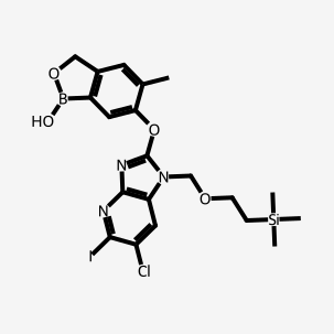 Cc1cc2c(cc1Oc1nc3nc(I)c(Cl)cc3n1COCC[Si](C)(C)C)B(O)OC2